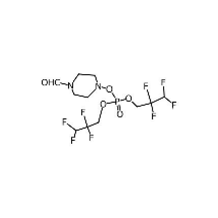 O=CN1CCN(OP(=O)(OCC(F)(F)C(F)F)OCC(F)(F)C(F)F)CC1